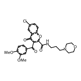 COc1ccc(C(=O)c2c(C(=O)NCCCN3CCOCC3)oc3ccc(Cl)cc3c2=O)cc1OC